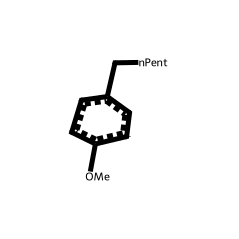 CCCCCCc1c[c]c(OC)cc1